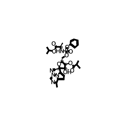 Cc1ncnn2c([C@]3(C#N)O[C@H](CO[P@](=O)(N[C@H](C)C(=O)OC(C)C)Oc4ccccc4)[C@@H](OC(=O)C(C)C)[C@@]3(C)O)ccc12